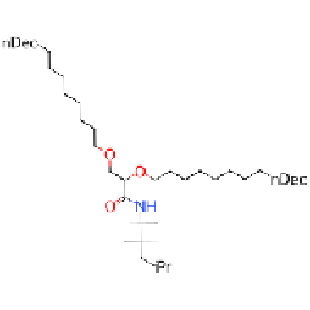 CCCCCCCCCCCCCCCCCCOCC(OCCCCCCCCCCCCCCCCCC)C(=O)NC(C)(C)C(C)(C)CC(C)C